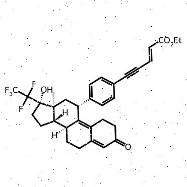 CCOC(=O)/C=C/C#Cc1ccc([C@H]2C[C@@]3(C)[C@@H](CC[C@@]3(O)C(F)(F)C(F)(F)F)[C@@H]3CCC4=CC(=O)CCC4=C32)cc1